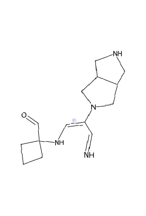 N=C/C(=C\NC1(C=O)CCC1)N1CC2CNCC2C1